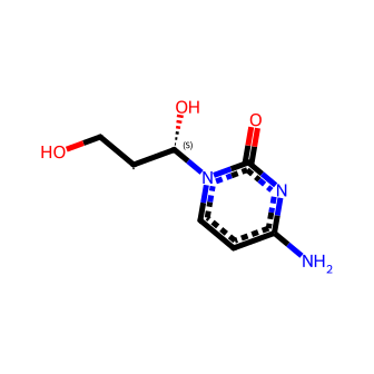 Nc1ccn([C@@H](O)[CH]CO)c(=O)n1